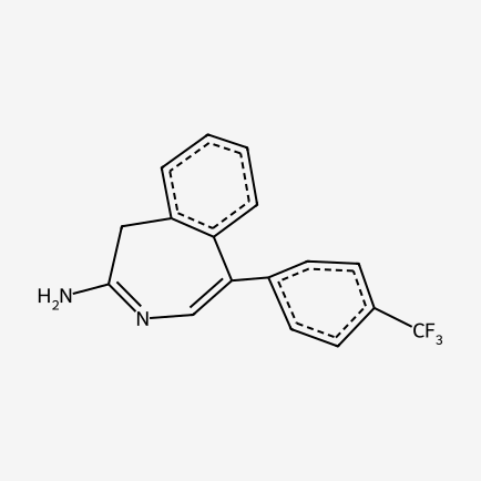 NC1=NC=C(c2ccc(C(F)(F)F)cc2)c2ccccc2C1